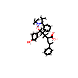 CC(CC(C(=O)O)C(C)(C)C(C)(C)C(C)(ON(C(c1ccccc1)C(C)C)C(C)(C)C)c1ccc(O)cc1)c1ccccc1